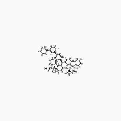 CC1(C)c2ccccc2-c2c(N(c3ccc(-c4cccc(-c5ccccc5)c4)cc3)c3ccc4c(c3)C3(c5ccccc5-4)C4CC5CC(C4)CC3C5)cccc21